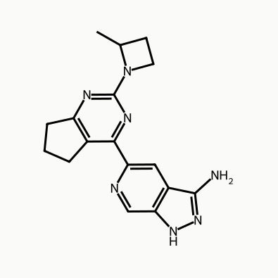 CC1CCN1c1nc2c(c(-c3cc4c(N)n[nH]c4cn3)n1)CCC2